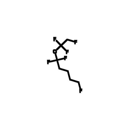 FCCCCC(F)(F)OC(F)(F)CF